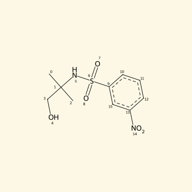 CC(C)(CO)NS(=O)(=O)c1cccc([N+](=O)[O-])c1